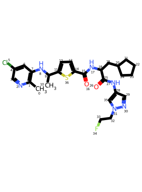 Cc1ncc(Cl)cc1NC(C)c1ccc(C(=O)NC(CC2CCCC2)C(=O)Nc2cnn(CCF)c2)s1